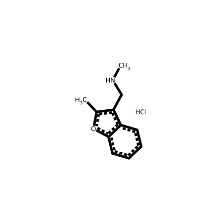 CNCc1c(C)oc2ccccc12.Cl